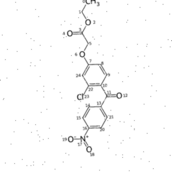 CCOC(=O)COc1ccc(C(=O)c2ccc([N+](=O)[O-])cc2)c(Cl)c1